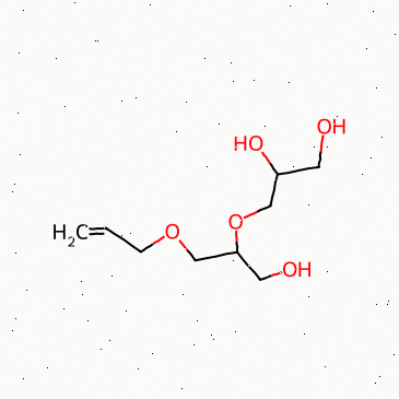 C=CCOCC(CO)OCC(O)CO